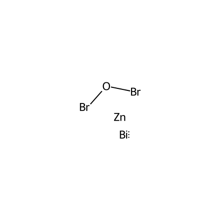 BrOBr.[Bi].[Zn]